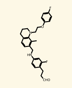 Cc1c(CNc2ccc(CCC=O)c(F)c2)ccc2c1N(CCOc1ccc(F)cc1)CCC2